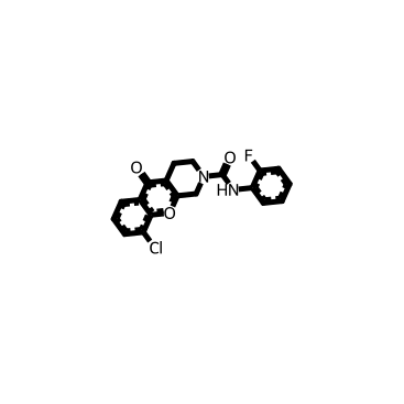 O=C(Nc1ccccc1F)N1CCc2c(oc3c(Cl)cccc3c2=O)C1